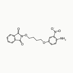 Nc1ccc(OCCCCON2C(=O)c3ccccc3C2=O)cc1[N+](=O)[O-]